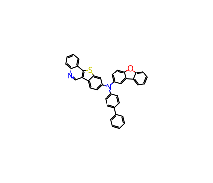 c1ccc(-c2ccc(N(c3ccc4c(c3)sc3c5ccccc5ncc43)c3ccc4oc5ccccc5c4c3)cc2)cc1